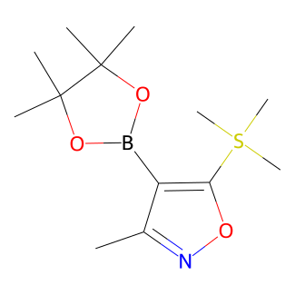 Cc1noc(S(C)(C)C)c1B1OC(C)(C)C(C)(C)O1